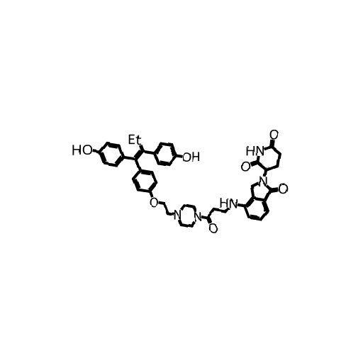 CCC(=C(c1ccc(O)cc1)c1ccc(OCCN2CCN(C(=O)CCNc3cccc4c3CN(C3CCC(=O)NC3=O)C4=O)CC2)cc1)c1ccc(O)cc1